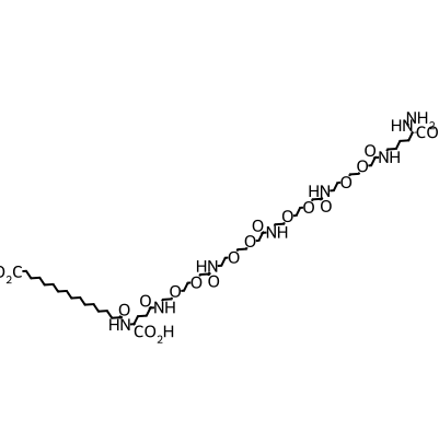 NN[C@@H](CCCCNC(=O)COCCOCCNC(=O)COCCOCCNC(=O)COCCOCCNC(=O)COCCOCCNC(=O)CC[C@H](NC(=O)CCCCCCCCCCCCCCC(=O)O)C(=O)O)C(=O)O